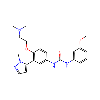 COc1cccc(NC(=O)Nc2ccc(OCCN(C)C)c(-c3ccnn3C)c2)c1